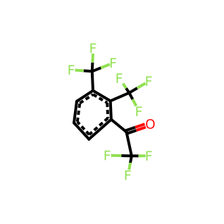 O=C(c1cccc(C(F)(F)F)c1C(F)(F)F)C(F)(F)F